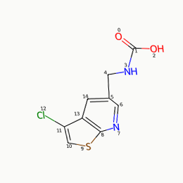 O=C(O)NCc1cnc2scc(Cl)c2c1